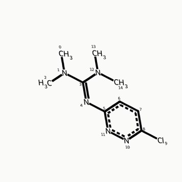 CN(C)C(=Nc1ccc(Cl)nn1)N(C)C